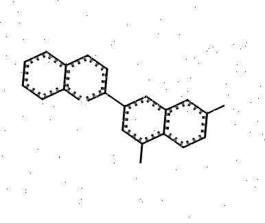 Cc1ccc2c(C(C)(C)C)cc(-c3ccc4ccccc4n3)cc2c1